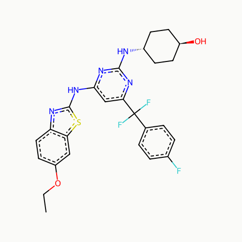 CCOc1ccc2nc(Nc3cc(C(F)(F)c4ccc(F)cc4)nc(N[C@H]4CC[C@H](O)CC4)n3)sc2c1